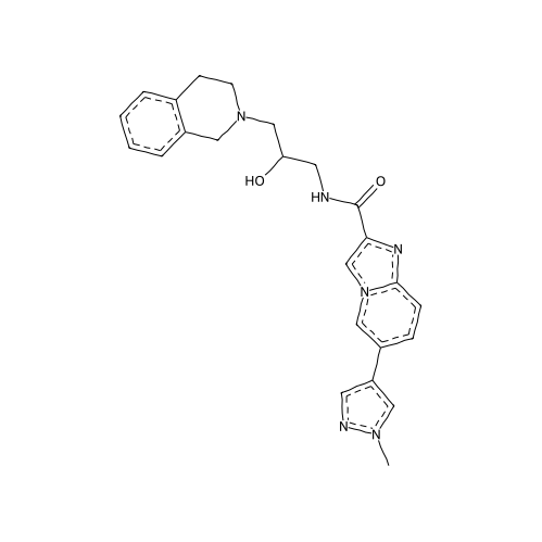 Cn1cc(-c2ccc3nc(C(=O)NCC(O)CN4CCc5ccccc5C4)cn3c2)cn1